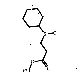 CC(C)(C)OC(=O)CC[S+]([O-])C1CCCCC1